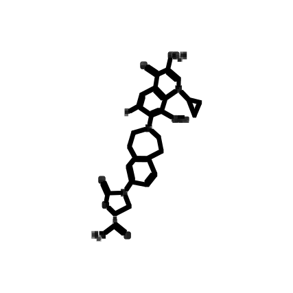 COc1c(N2CCc3ccc(N4C[C@H](C(N)=O)OC4=O)cc3CC2)c(F)cc2c(=O)c(C(=O)O)cn(C3CC3)c12